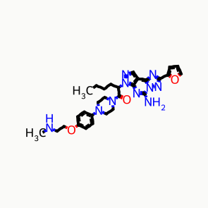 CCCCC(C(=O)N1CCN(c2ccc(OCCNC)cc2)CC1)n1ncc2c1nc(N)n1nc(-c3ccco3)nc21